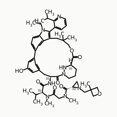 CCn1c(-c2cccnc2C(C)C)c2c3cc(ccc31)-c1cc(O)cc(c1)C[C@H](NC(=O)[C@H](C(C)C)N(C)C(=O)CN(C)C(=O)[C@@H]1CN1CC1(C)COC1)C(=O)N1CCC[C@H](N1)C(=O)OCC(C)(C)C2